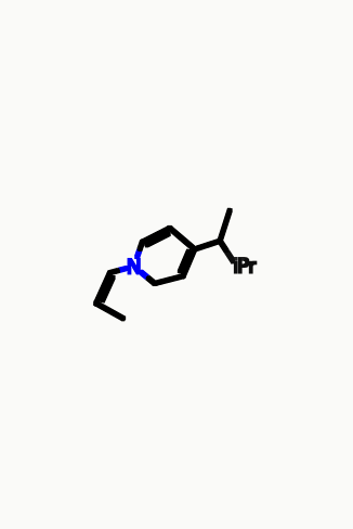 C/C=C\N1C=CC(C(C)C(C)C)=CC1